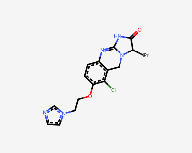 CC(C)C1C(=O)NC2=Nc3ccc(OCCn4ccnc4)c(Cl)c3CN21